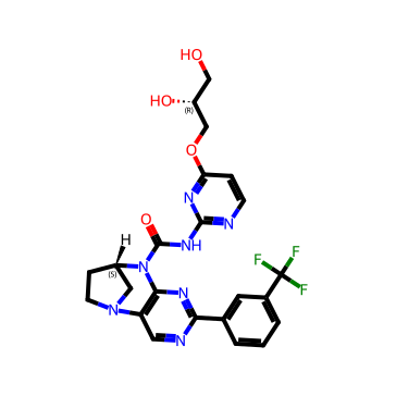 O=C(Nc1nccc(OC[C@H](O)CO)n1)N1c2nc(-c3cccc(C(F)(F)F)c3)ncc2N2CC[C@H]1C2